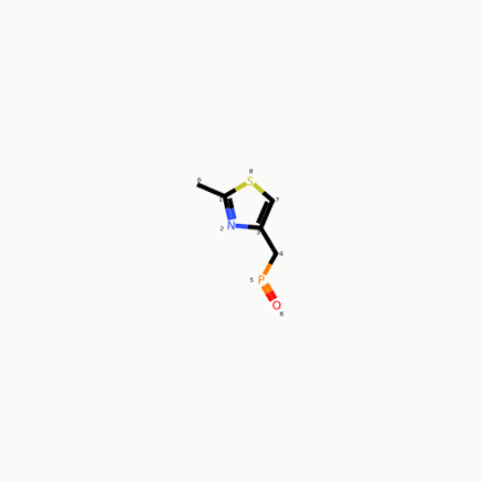 Cc1nc(CP=O)cs1